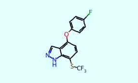 Fc1ccc(Oc2ccc(SC(F)(F)F)c3[nH]ncc23)cc1